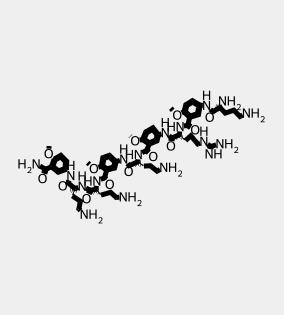 COc1ccc(NC(=O)[C@@H](CCCN)NC(=O)[C@@H](CCCN)NC(=O)c2cc(NC(=O)[C@@H](CCCN)NC(=O)c3cc(NC(=O)[C@@H](CCCNC(=N)N)NC(=O)c4cc(NC(=O)[C@H](N)CCCN)ccc4OC)ccc3OC)ccc2OC)cc1C(N)=O